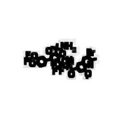 COc1cc(C(=O)NC[C@](O)(c2cc3c(c(-c4ccc5c(c4)OC(F)(F)O5)n2)OC[C@]3(C)C(N)=O)C(F)(F)F)cc2cc(Br)c(C)nc12